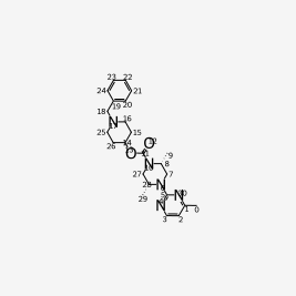 Cc1ccnc(N2C[C@@H](C)N(C(=O)OC3CCN(Cc4ccccc4)CC3)C[C@H]2C)n1